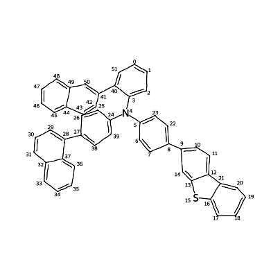 c1ccc(N(c2ccc(-c3ccc4c(c3)sc3ccccc34)cc2)c2ccc(-c3cccc4ccccc34)cc2)c(-c2ccc3ccccc3c2)c1